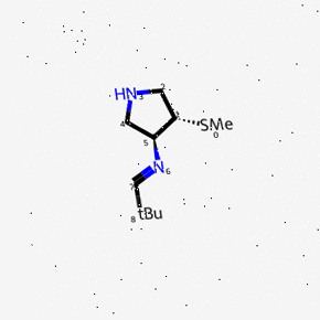 CS[C@H]1CNC[C@@H]1N=CC(C)(C)C